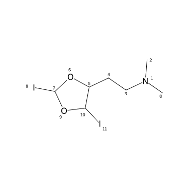 CN(C)CCC1OC(I)OC1I